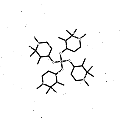 CC1C(O[Si](OC2CCN(C)C(C)(C)C2C)(OC2CCN(C)C(C)(C)C2C)OC2CCN(C)C(C)(C)C2C)CCN(C)C1(C)C